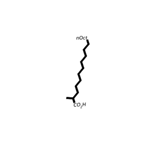 CCCCCCCCCCCCCCCCCC(C)C(=O)O